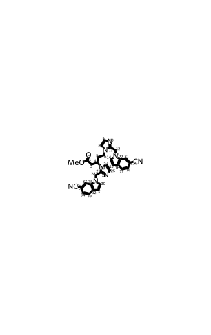 COC(=O)CC(CCn1ccnc1Cn1ccc2ccc(C#N)cc21)n1ccnc1Cn1ccc2ccc(C#N)cc21